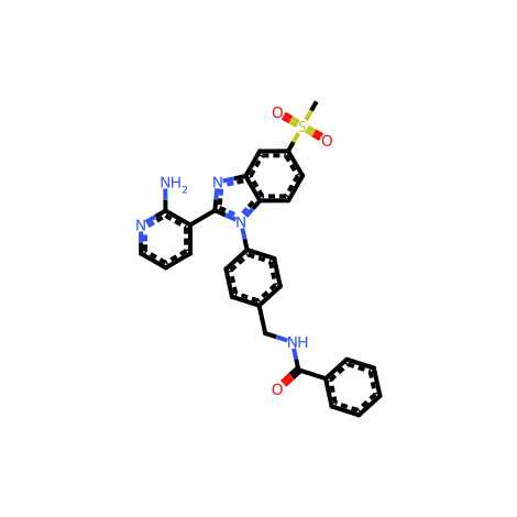 CS(=O)(=O)c1ccc2c(c1)nc(-c1cccnc1N)n2-c1ccc(CNC(=O)c2ccccc2)cc1